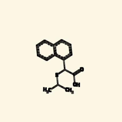 CC(C)SC(C(=O)O)c1cccc2ccccc12